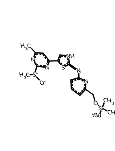 Cc1cc(-c2c[nH]/c(=N/c3cccc(CO[Si](C)(C)C(C)(C)C)n3)s2)nc([S+](C)[O-])n1